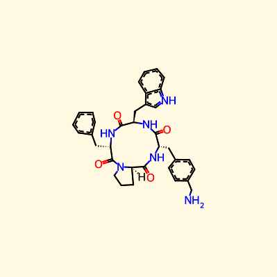 NCc1ccc(C[C@@H]2NC(=O)[C@H]3CCCN3C(=O)[C@H](Cc3ccccc3)NC(=O)[C@@H](Cc3c[nH]c4ccccc34)NC2=O)cc1